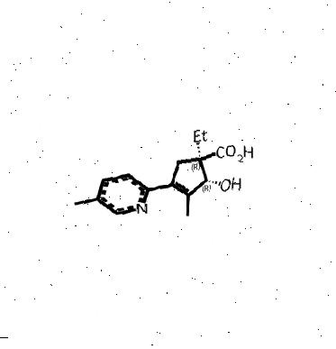 CC[C@@]1(C(=O)O)CC(c2ccc(C)cn2)=C(C)[C@H]1O